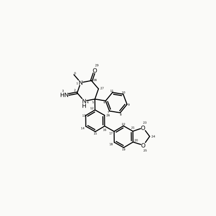 CN1C(=N)NC(c2ccccc2)(c2cccc(-c3ccc4c(c3)OCO4)c2)CC1=O